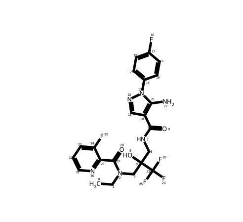 CCN(CC(O)(CNC(=O)c1cnn(-c2ccc(F)cc2)c1N)C(F)(F)F)C(=O)c1ncccc1F